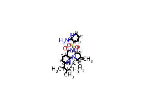 CC(C)C(C)c1ccc(C(=O)NS(=O)(=O)c2cccnc2N)c(N2CCC(C)C2(C)C)n1